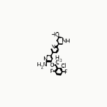 CC(Oc1cc(-c2ccc(C3CNC[C@H](O)C3)nc2)cnc1N)c1c(F)ccc(F)c1Cl